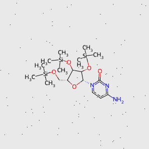 C[Si](C)(C)OC[C@H]1O[C@@H](n2ccc(N)nc2=O)C(O[Si](C)(C)C)C1O[Si](C)(C)C